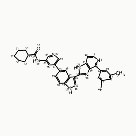 Cc1cc(F)cc(-c2nccc3[nH]c(-c4n[nH]c5ccc(-c6cncc(NC(=O)C7CCCCC7)c6)cc45)nc23)c1